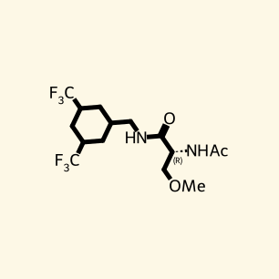 COC[C@@H](NC(C)=O)C(=O)NCC1CC(C(F)(F)F)CC(C(F)(F)F)C1